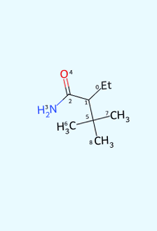 CCC(C(N)=O)C(C)(C)C